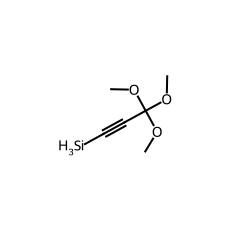 COC(C#C[SiH3])(OC)OC